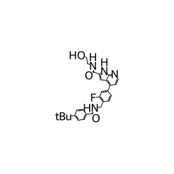 CC(C)(C)c1ccc(C(=O)NCc2ccc(-c3ccnc4[nH]c(C(=O)NCCO)cc34)cc2F)cc1